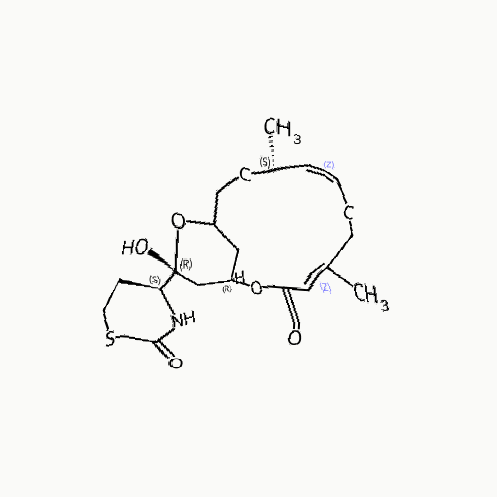 C/C1=C/C(=O)O[C@@H]2CC(CC[C@H](C)/C=C\CC1)O[C@@](O)([C@@H]1CCSC(=O)N1)C2